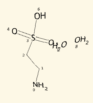 NCCS(=O)(=O)O.O.O